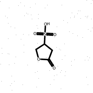 O=C1CC(S(=O)(=O)O)CO1